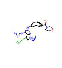 Nc1nc(Nc2ccc(C(=O)N3CCOCC3)cc2)nc2[nH]cc(Cl)c12